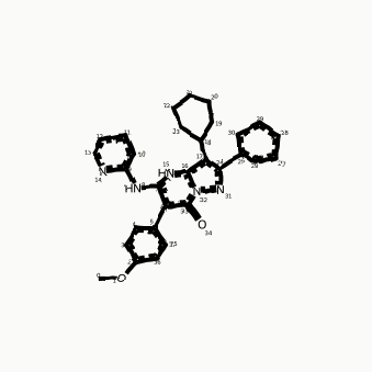 COc1ccc(-c2c(Nc3ccccn3)[nH]c3c(C4CCCCC4)c(-c4ccccc4)nn3c2=O)cc1